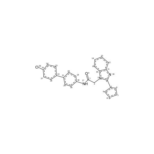 O=C(Cn1c(-c2ccsc2)nc2ccccc21)Nc1ccc(-c2ccc(Cl)cc2)cc1